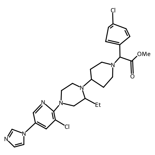 CCC1CN(c2ncc(-n3ccnc3)cc2Cl)CCN1C1CCN(C(C(=O)OC)c2ccc(Cl)cc2)CC1